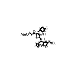 COCCC(=O)N[C@@H](Cc1ccc(F)cc1)[C@H](O)CN[C@H]1CC2(CCC2)Oc2ncc(CC(C)(C)C)cc21